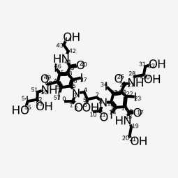 CC(=O)N(CC(O)CN(C(C)=O)c1c(I)c(C(=O)NCCO)c(I)c(C(=O)NCC(O)CO)c1I)c1c(I)c(C(=O)NCCO)c(I)c(C(=O)NCC(O)CO)c1I